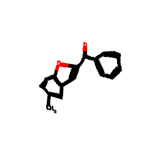 Cc1ccc2oc(C(=O)c3ccccc3)cc2c1